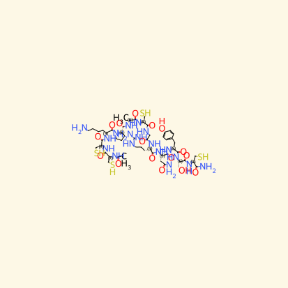 CC(=O)N[C@@H](CS)C(=O)N[C@@H](CS)C(=O)N[C@@H](CCCCN)C(=O)N1CCC[C@H]1C(=O)N[C@@H](C)C(=O)N[C@@H](CS)C(=O)NCC(=O)N[C@@H](CCCNC(=N)N)C(=O)N[C@@H](CC(N)=O)C(=O)N[C@@H](Cc1ccc(O)cc1)C(=O)N[C@@H](CO)C(=O)N[C@@H](CS)C(N)=O